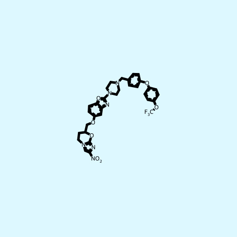 O=[N+]([O-])c1cn2c(n1)OC(COc1ccc3oc(N4CCN(Cc5ccc(Oc6ccc(OC(F)(F)F)cc6)cc5)CC4)nc3c1)CC2